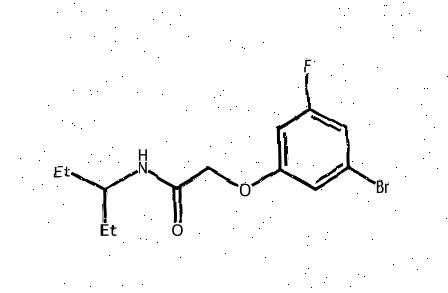 CCC(CC)NC(=O)COc1cc(F)cc(Br)c1